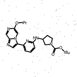 CC(C)Oc1cn2c(-c3cccc(NC4CCN(C(=O)OC(C)(C)C)C4)n3)cnc2cn1